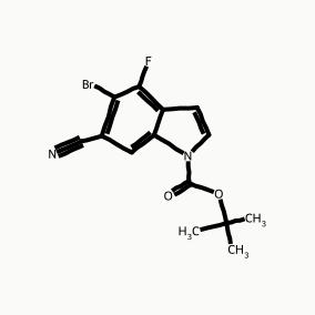 CC(C)(C)OC(=O)n1ccc2c(F)c(Br)c(C#N)cc21